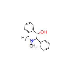 CN(C)[C@H](c1ccccc1)[C@H](O)c1ccccc1